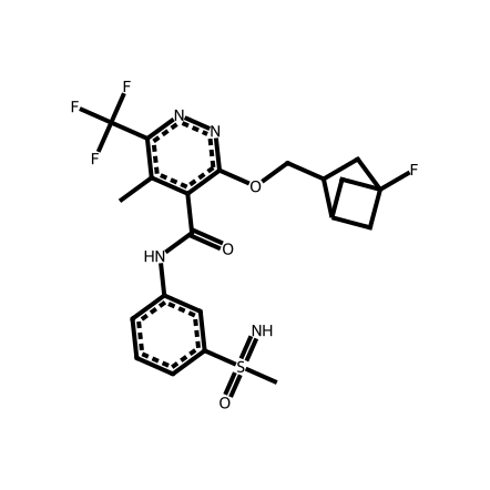 Cc1c(C(F)(F)F)nnc(OCC2CC3(F)CC2C3)c1C(=O)Nc1cccc(S(C)(=N)=O)c1